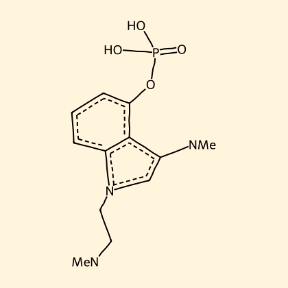 CNCCn1cc(NC)c2c(OP(=O)(O)O)cccc21